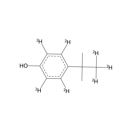 [2H]c1c([2H])c(C(C)(C)C([2H])([2H])[2H])c([2H])c([2H])c1O